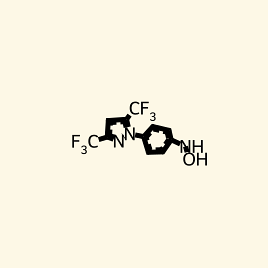 ONc1ccc(-n2nc(C(F)(F)F)cc2C(F)(F)F)cc1